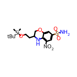 CC(C)(C)[Si](C)(C)OCCC1COc2cc(S(N)(=O)=O)cc([N+](=O)[O-])c2N1